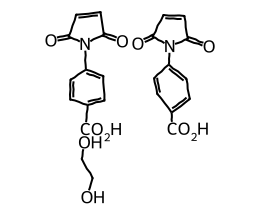 O=C(O)c1ccc(N2C(=O)C=CC2=O)cc1.O=C(O)c1ccc(N2C(=O)C=CC2=O)cc1.OCCO